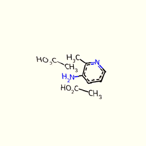 CC(=O)O.CC(=O)O.Cc1ncccc1N